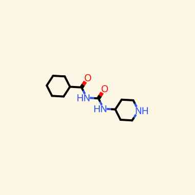 O=C(NC(=O)C1CCCCC1)NC1CCNCC1